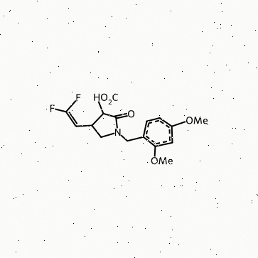 COc1ccc(CN2CC(C=C(F)F)C(C(=O)O)C2=O)c(OC)c1